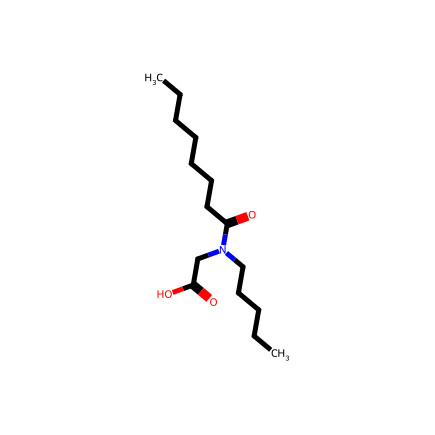 CCCCCCCC(=O)N(CCCCC)CC(=O)O